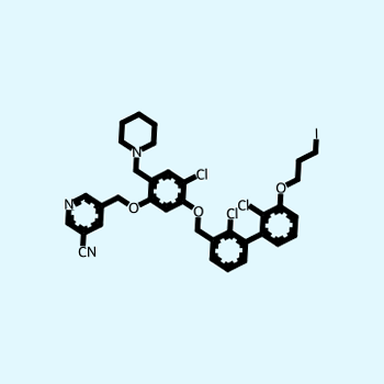 N#Cc1cncc(COc2cc(OCc3cccc(-c4cccc(OCCCI)c4Cl)c3Cl)c(Cl)cc2CN2CCCCC2)c1